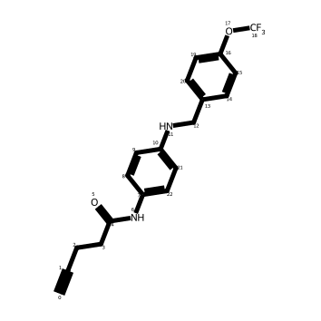 C#CCCC(=O)Nc1ccc(NCc2ccc(OC(F)(F)F)cc2)cc1